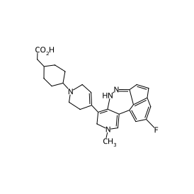 CN1C=C2C(=C(C3=CCN(C4CCC(CC(=O)O)CC4)CC3)C1)NN=C1C=Cc3cc(F)cc2c31